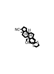 COC[C@]12CCC3(C=C1CC[C@@H]1[C@@H]2CC[C@]2(C)[C@@H](C#N)CC[C@@H]12)SCCS3